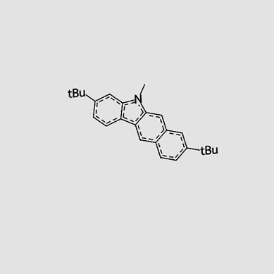 Cn1c2cc(C(C)(C)C)ccc2c2cc3ccc(C(C)(C)C)cc3cc21